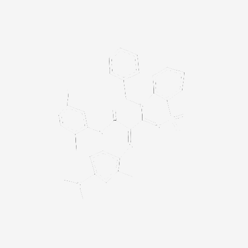 Cc1cc(N(C)C)ccc1/N=C(\C(=O)Nc1cc(Cl)ccc1Cl)C1=NS(=O)(=O)c2ccccc2N1Cc1ccccc1